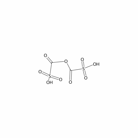 O=C(OC(=O)S(=O)(=O)O)S(=O)(=O)O